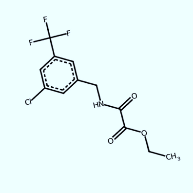 CCOC(=O)C(=O)NCc1cc(Cl)cc(C(F)(F)F)c1